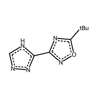 CC(C)(C)c1nc(-c2nnc[nH]2)no1